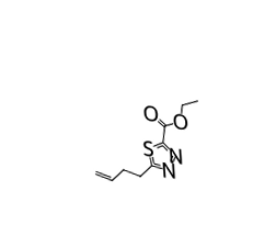 C=CCCc1nnc(C(=O)OCC)s1